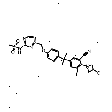 CC(C)(c1ccc(OCc2ccnc(NS(C)(=O)=O)n2)cc1)c1cc(F)c(N2CC(O)C2)c(C#N)c1